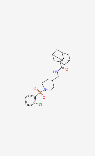 O=C(NCC1CCN(S(=O)(=O)c2ccccc2Cl)CC1)C12CC3CC(CC(C3)C1)C2